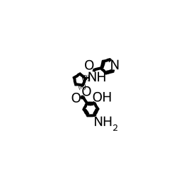 Nc1ccc(C(=O)O[C@@H]2CCC[C@H]2NC(=O)c2ccncc2)c(O)c1